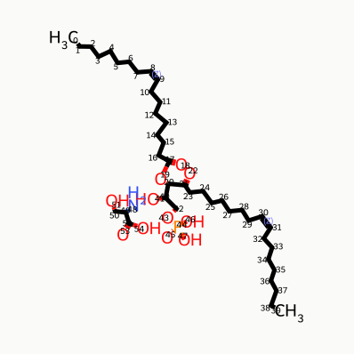 CCCCCCCC/C=C\CCCCCCCC(=O)OC(C(=O)CCCCCCC/C=C\CCCCCCCC)C(O)COP(=O)(O)O.NC(CO)C(=O)O